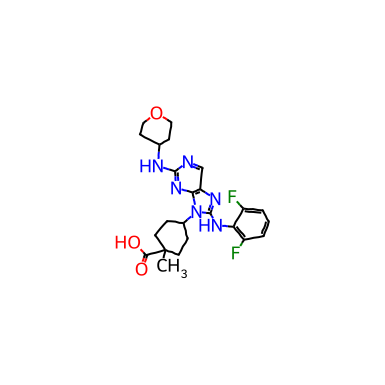 CC1(C(=O)O)CCC(n2c(Nc3c(F)cccc3F)nc3cnc(NC4CCOCC4)nc32)CC1